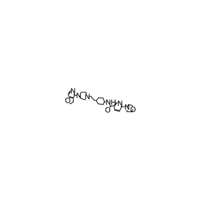 O=C(NC1CCC(CCN2CCN(c3nccc4c3CCO4)CC2)CC1)c1ccc(N2CCOCC2)nc1